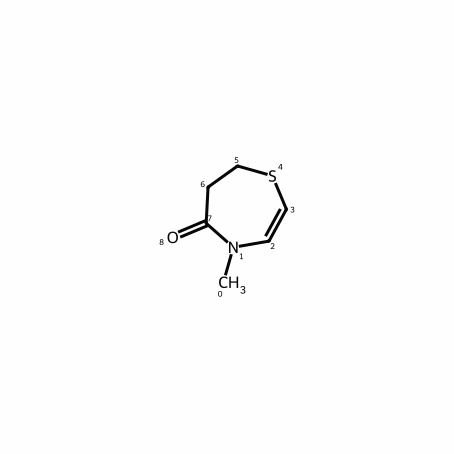 CN1C=CSCCC1=O